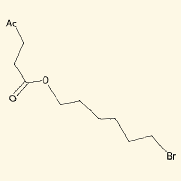 CC(=O)CCC(=O)OCCCCCCBr